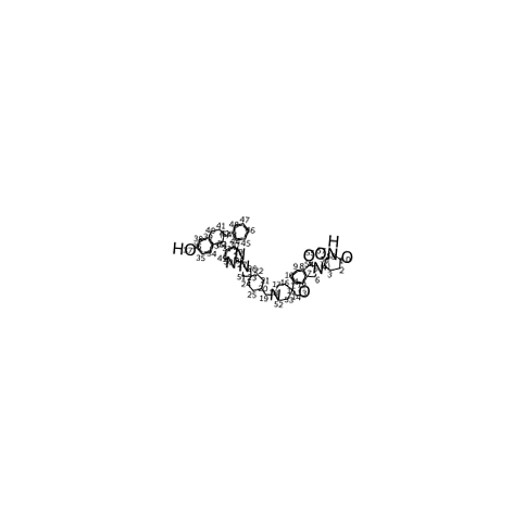 O=C1CC[C@H](N2Cc3c(ccc4c3OCC43CCN(CC4CCC5(CC4)CN(c4ncc([C@@H]6c7ccc(O)cc7CC[C@@H]6c6ccccc6)cn4)C5)CC3)C2=O)C(=O)N1